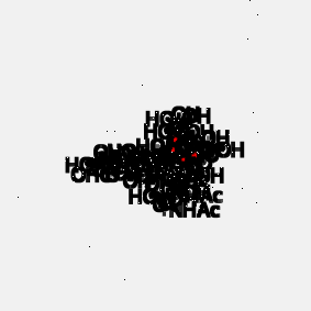 CC(=O)NC1C(O)[C@H](O[C@@H]2OC(CO)[C@H](O)[C@H](O[C@]3(OC=O)C[C@@H](O)[C@@H](C)C(C(O)C(O)CO)O3)C2O)[C@H](CO)O[C@H]1OC1[C@@H](OCC2O[C@@H](O[C@@H]3C(CO)O[C@@H](O[C@@H]4C(CO)O[C@@H](C)C(NC(C)=O)[C@H]4O)C(NC(C)=O)[C@H]3O)C(O)[C@@H](O[C@H]3OC(CO)[C@@H](O)C(O)C3O[C@@H]3OC(CO)[C@H](O[C@@H]4OC(CO)[C@H](O)[C@H](O)C4O)[C@H](O)C3NC(C)=O)[C@@H]2O)OC(CO)[C@@H](O)[C@@H]1O